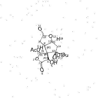 CC(=O)O[C@@H]1OC(=O)[C@H](O)[C@]12[C@H]1CC(=O)O[C@H]1C[C@@]2(O)C(C)(C)C